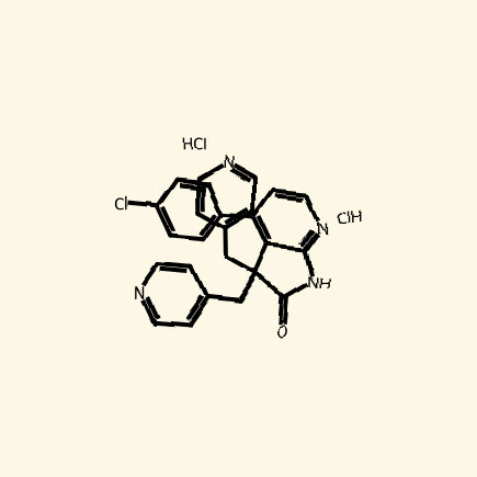 Cl.Cl.O=C1Nc2nccc(-c3ccc(Cl)cc3)c2C1(Cc1ccncc1)Cc1ccncc1